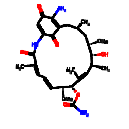 CO[C@H]1C[C@H](C)CC2=C(N)C(=O)C=C(NC(=O)/C(C)=C\C=C\[C@@H](OC)[C@@H](OC(N)=O)/C(C)=C/[C@H](C)[C@H]1O)C2=O